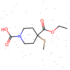 CCOC(=O)C1(SC)CCN(C(=O)O)CC1